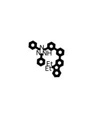 CCC1(CC)c2ccccc2-c2ccc(-c3cccc(-c4cccc(C5=NC(c6ccccc6)=NC(c6ccccc6)N5)c4)c3)cc21